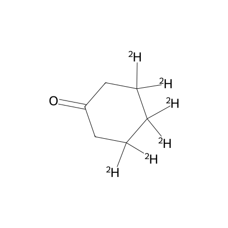 [2H]C1([2H])CC(=O)CC([2H])([2H])C1([2H])[2H]